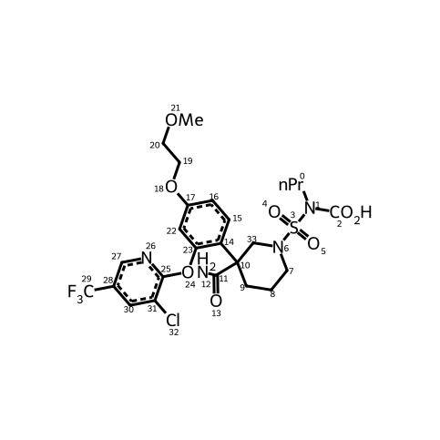 CCCN(C(=O)O)S(=O)(=O)N1CCCC(C(N)=O)(c2ccc(OCCOC)cc2Oc2ncc(C(F)(F)F)cc2Cl)C1